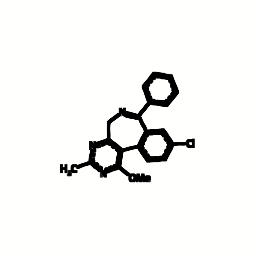 COc1nc(C)nc2c1-c1ccc(Cl)cc1C(c1ccccc1)=NC2